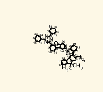 C=C(/C=C1\C(=C/C)C(C)(C)c2ccccc21)c1ccccc1N(C)c1ccc2oc3c(-c4nc(-c5ccccc5)nc(-c5ccccc5)n4)cccc3c2c1